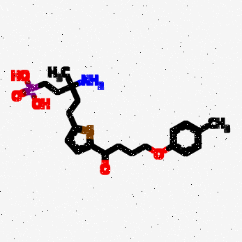 Cc1ccc(OCCCC(=O)c2ccc(CCC(C)(N)CCP(=O)(O)O)s2)cc1